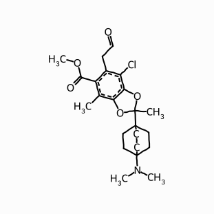 COC(=O)c1c(C)c2c(c(Cl)c1CC=O)OC(C)(C13CCC(N(C)C)(CC1)CC3)O2